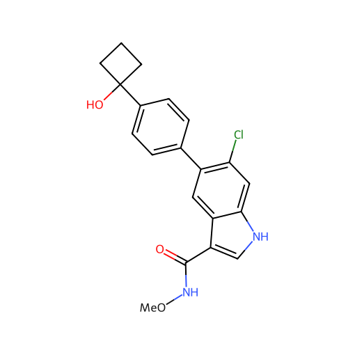 CONC(=O)c1c[nH]c2cc(Cl)c(-c3ccc(C4(O)CCC4)cc3)cc12